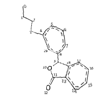 CCCCc1cccc(C2OC(=O)c3ccccc32)c1